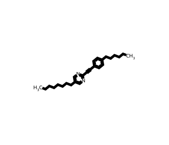 CCCCCCCCc1cnc(C#Cc2ccc(CCCCCC)cc2)nc1